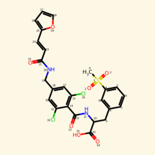 CS(=O)(=O)c1cccc(CC(NC(=O)c2c(Cl)cc(CNC(=O)C=Cc3ccco3)cc2Cl)C(=O)O)c1